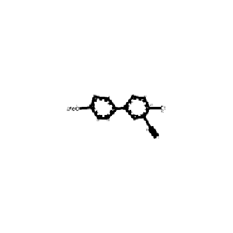 C#Cc1cc(-c2ccc(OC)cc2)ccc1CC